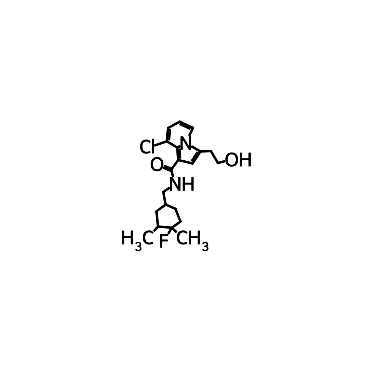 CC1CC(CNC(=O)c2cc(CCO)n3cccc(Cl)c23)CCC1(C)F